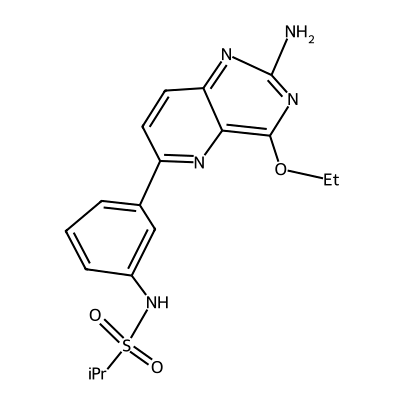 CCOc1nc(N)nc2ccc(-c3cccc(NS(=O)(=O)C(C)C)c3)nc12